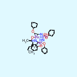 C=C(/C=C\C=C/C)O[PH]12NC(C)[PH](Oc3ccccc3)(Oc3ccccc3)N[PH](O)(Oc3ccccc3)NC1C2Oc1ccccc1